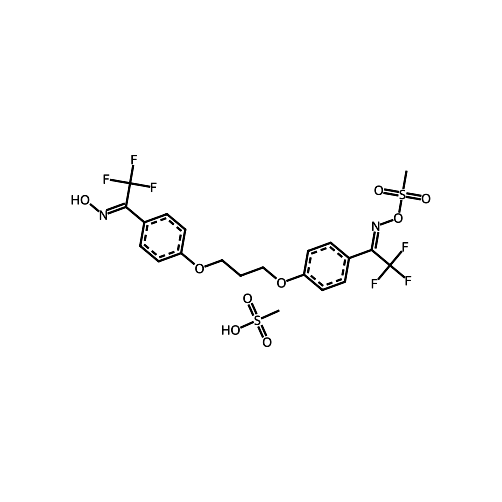 CS(=O)(=O)O.CS(=O)(=O)ON=C(c1ccc(OCCCOc2ccc(C(=NO)C(F)(F)F)cc2)cc1)C(F)(F)F